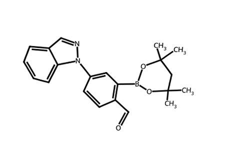 CC1(C)CC(C)(C)OB(c2cc(-n3ncc4ccccc43)ccc2C=O)O1